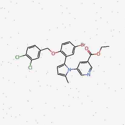 CCOC(=O)c1cncc(-n2c(C)ccc2-c2cc(Br)ccc2OCc2ccc(Cl)c(Cl)c2)c1